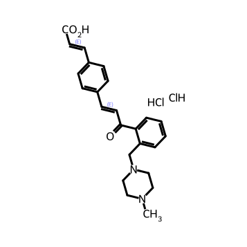 CN1CCN(Cc2ccccc2C(=O)/C=C/c2ccc(/C=C/C(=O)O)cc2)CC1.Cl.Cl